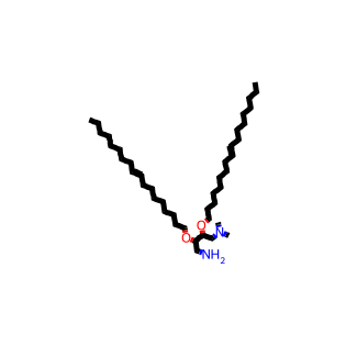 CCCCCCCCC=CCCCCCCCCOC(CN)C(CN(C)C)OCCCCCCCCC=CCCCCCCCC